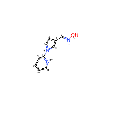 ON=Cc1ccn(-c2cc[c]cn2)c1